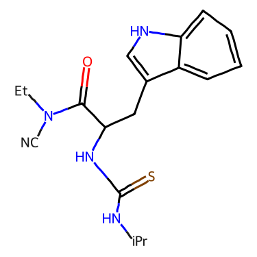 CCN(C#N)C(=O)C(Cc1c[nH]c2ccccc12)NC(=S)NC(C)C